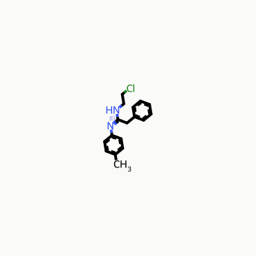 Cc1ccc(/N=C(\Cc2ccccc2)NCCCl)cc1